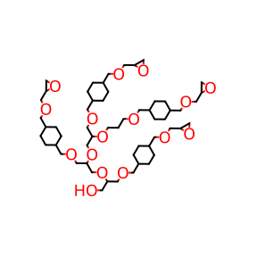 OCC(COCC1CCC(COCC2CO2)CC1)OCC(COCC1CCC(COCC2CO2)CC1)OCC(COCC1CCC(COCC2CO2)CC1)OCCCOCC1CCC(COCC2CO2)CC1